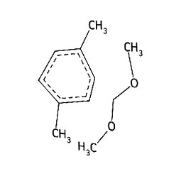 COCOC.Cc1ccc(C)cc1